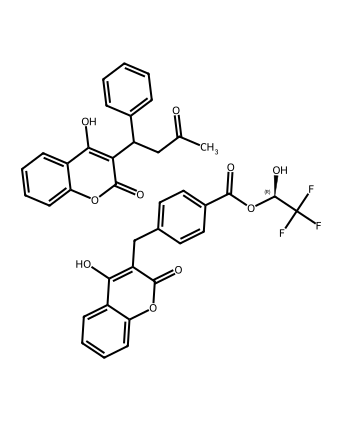 CC(=O)CC(c1ccccc1)c1c(O)c2ccccc2oc1=O.O=C(O[C@@H](O)C(F)(F)F)c1ccc(Cc2c(O)c3ccccc3oc2=O)cc1